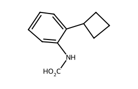 O=C(O)Nc1ccccc1C1CCC1